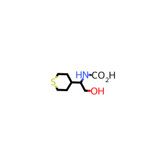 O=C(O)NC(CO)C1CCSCC1